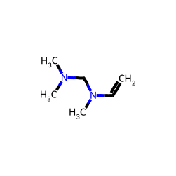 C=CN(C)CN(C)C